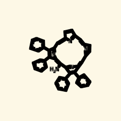 NC1=C2N=C(C=C3C=CC(=N3)C=C3C=CC(=N3)C=C3N=C1C(c1ccccc1)=C3c1ccccc1)C(c1ccccc1)=C2c1ccccc1